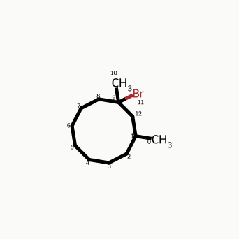 CC1CCCCCCCC(C)(Br)C1